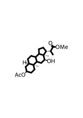 COC(=O)C(C)[C@H]1CCC2C3CC[C@@H]4C[C@H](OC(C)=O)CC[C@]4(C)C3C[C@H](O)[C@@]21C